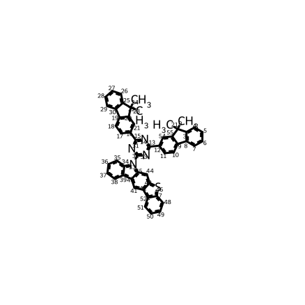 CC1(C)c2ccccc2-c2ccc(-c3nc(-c4ccc5c(c4)C(C)(C)c4ccccc4-5)nc(-n4c5ccccc5c5cc6c(cc54)sc4ccccc46)n3)cc21